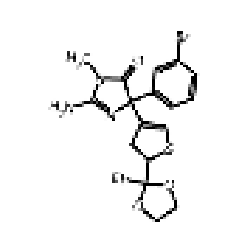 CCC1(C2CC(C3(c4cccc(Br)c4)N=C(N)N(C)C3=O)=CS2)OCCO1